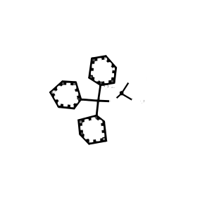 COC(OC)(OC(c1ccccc1)(c1ccccc1)c1ccccc1)C(=O)O